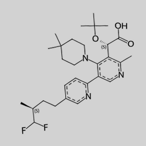 Cc1ncc(-c2ccc(CC[C@H](C)C(F)F)cn2)c(N2CCC(C)(C)CC2)c1[C@H](OC(C)(C)C)C(=O)O